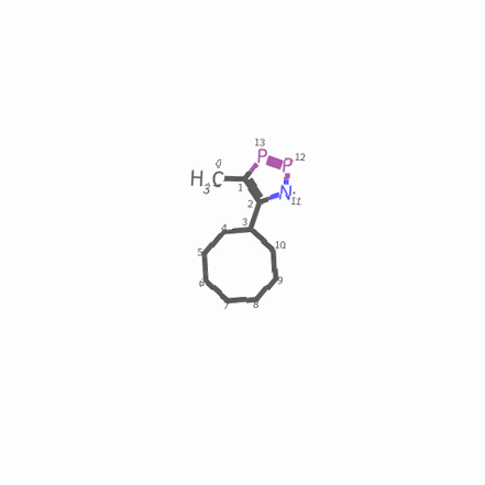 CC1=C(C2CCCCCCC2)[N]P=P1